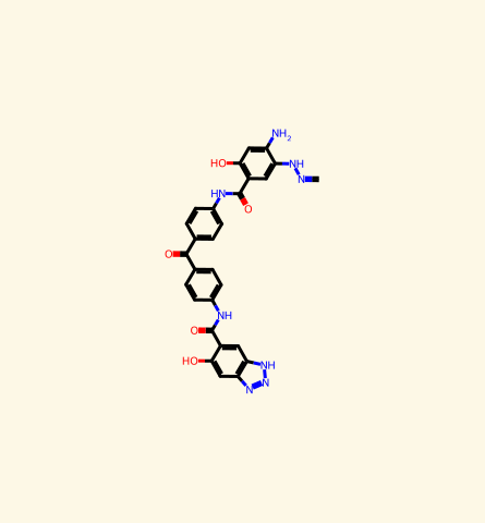 C=NNc1cc(C(=O)Nc2ccc(C(=O)c3ccc(NC(=O)c4cc5[nH]nnc5cc4O)cc3)cc2)c(O)cc1N